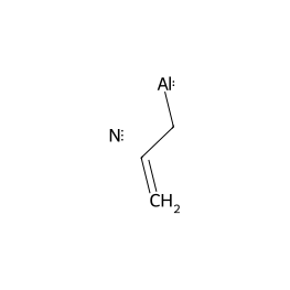 C=C[CH2][Al].[N]